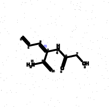 C=C/C=C(/NC(=O)CO)C(=C)N